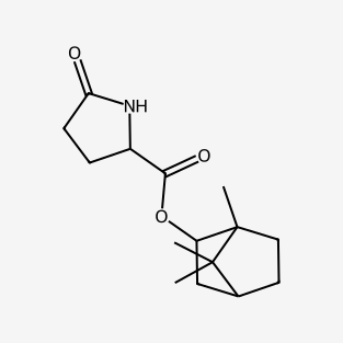 CC1(C)C2CCC1(C)C(OC(=O)C1CCC(=O)N1)C2